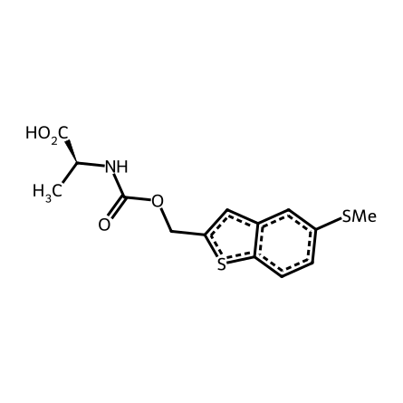 CSc1ccc2sc(COC(=O)N[C@@H](C)C(=O)O)cc2c1